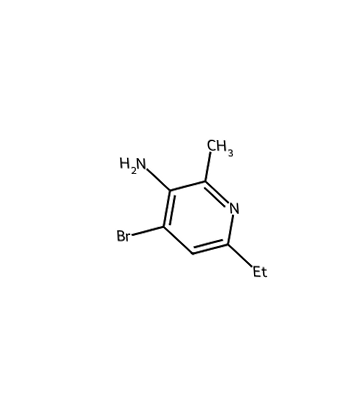 CCc1cc(Br)c(N)c(C)n1